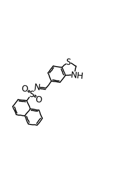 O=S(=O)(N=Cc1ccc2c(c1)NCS2)c1cccc2ccccc12